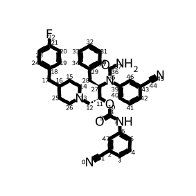 N#Cc1cccc(NC(=O)O[C@H](CN2CCC(Cc3ccc(F)cc3)CC2)[C@@H](Cc2ccccc2)N(C(N)=O)c2cccc(C#N)c2)c1